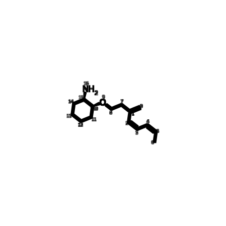 C=C(/C=C\C=C/C)CCO[C@H]1CCCC[C@H]1N